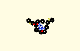 c1ccc(-c2cccc(-c3ccccc3)c2-c2nc(-n3c4ccccc4c4ccc(-c5ccc6sc7ccccc7c6c5)cc43)nc(-n3c4ccccc4c4ccc(-c5ccc6sc7ccccc7c6c5)cc43)n2)cc1